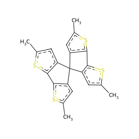 Cc1cc2c(s1)-c1sc(C)cc1C21c2cc(C)sc2-c2sc(C)cc21